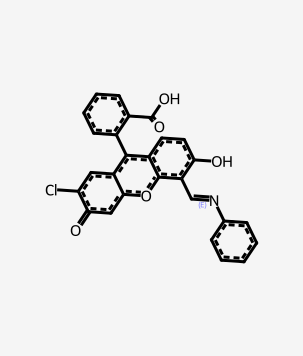 O=C(O)c1ccccc1-c1c2cc(Cl)c(=O)cc-2oc2c(/C=N/c3ccccc3)c(O)ccc12